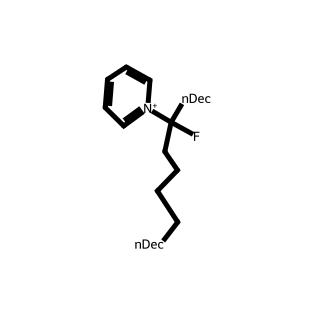 CCCCCCCCCCCCCCC(F)(CCCCCCCCCC)[n+]1ccccc1